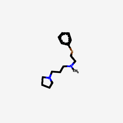 CN(CCCN1CCCC1)CCSc1ccccc1